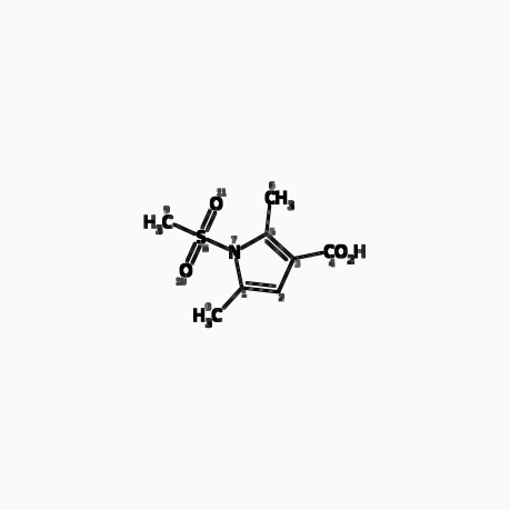 Cc1cc(C(=O)O)c(C)n1S(C)(=O)=O